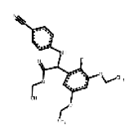 CCOC(=O)C(Nc1ccc(C#N)cc1)c1cc(OCC)cc(OCC)c1F